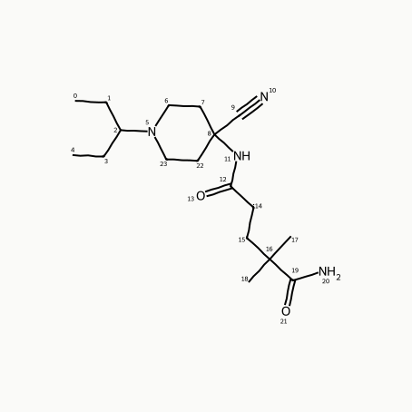 CCC(CC)N1CCC(C#N)(NC(=O)[CH]CC(C)(C)C(N)=O)CC1